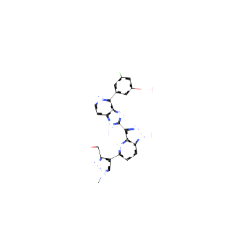 Cn1cc(-c2ccc3[nH]nc(-c4nc5c(-c6cc(O)cc(F)c6)nccc5[nH]4)c3n2)c(CO)n1